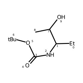 CCC(NC(=O)OC(C)(C)C)C(C)O